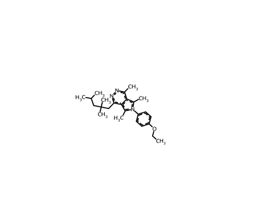 CCOc1ccc(-n2c(C)c3c(C)nnc(CC(C)(C)CC(C)C)c3c2C)cc1